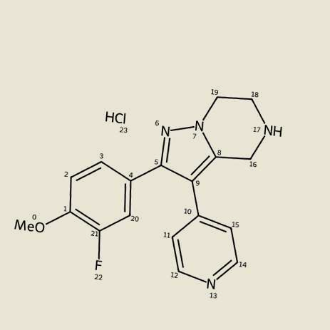 COc1ccc(-c2nn3c(c2-c2ccncc2)CNCC3)cc1F.Cl